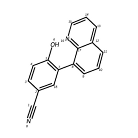 N#Cc1ccc(O)c(-c2cccc3cccnc23)c1